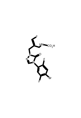 O=C(O)NC/C(=C\F)Cn1ncn(-c2cc(F)c(Br)cc2F)c1=O